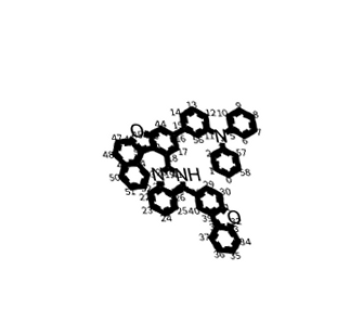 c1ccc(N(c2ccccc2)c2cccc(-c3cc(C4N=c5ccccc5=C(c5ccc6oc7ccccc7c6c5)N4)c4c(c3)oc3ccc5ccccc5c34)c2)cc1